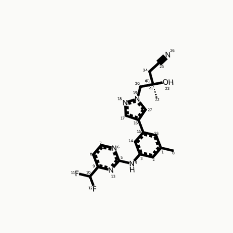 Cc1cc(Nc2nccc(C(F)F)n2)cc(-c2cnn(C[C@](C)(O)CC#N)c2)c1